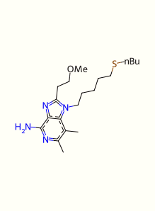 CCCCSCCCCCn1c(CCOC)nc2c(N)nc(C)c(C)c21